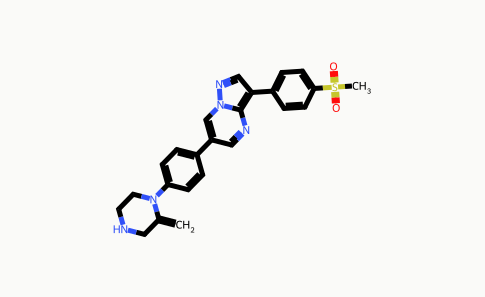 C=C1CNCCN1c1ccc(-c2cnc3c(-c4ccc(S(C)(=O)=O)cc4)cnn3c2)cc1